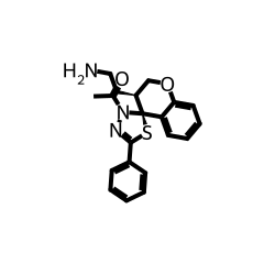 CC(=O)N1N=C(c2ccccc2)S[C@@]12c1ccccc1OC[C@@H]2CCN